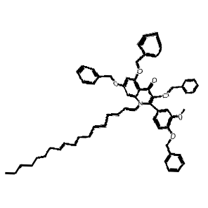 CCCCCCCCCCCCCCCCC=Cn1c(-c2ccc(OCc3ccccc3)c(OC)c2)c(OCc2ccccc2)c(=O)c2c(OCc3ccccc3)cc(OCc3ccccc3)cc21